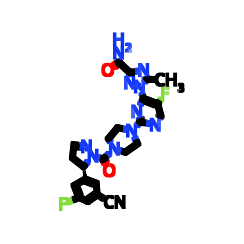 Cc1nc(C(N)=O)nn1-c1nc(N2CCN(C(=O)N3N=CC[C@H]3c3cc(F)cc(C#N)c3)CC2)ncc1F